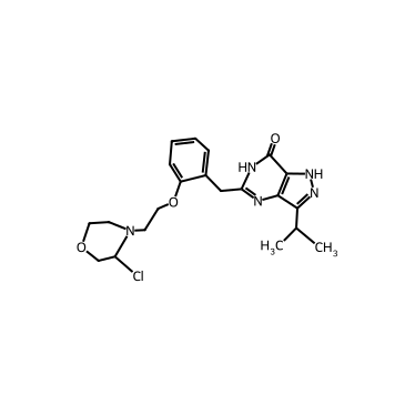 CC(C)c1n[nH]c2c(=O)[nH]c(Cc3ccccc3OCCN3CCOCC3Cl)nc12